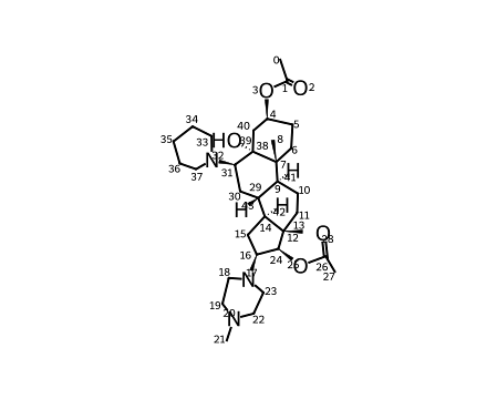 CC(=O)O[C@H]1CC[C@]2(C)[C@H]3CC[C@@]4(C)[C@@H](C[C@H](N5CCN(C)CC5)[C@@H]4OC(C)=O)[C@@H]3C[C@@H](N3CCCCC3)[C@@]2(O)C1